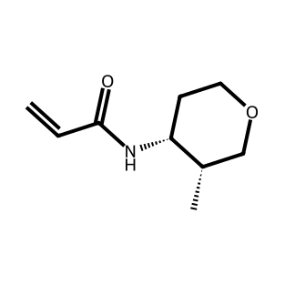 C=CC(=O)N[C@@H]1CCOC[C@@H]1C